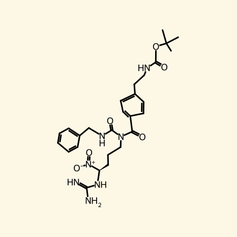 CC(C)(C)OC(=O)NCCc1ccc(C(=O)N(CCC[C@@H](NC(=N)N)[N+](=O)[O-])C(=O)NCc2ccccc2)cc1